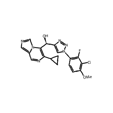 COc1ccc(-n2cc([C@H](O)c3c(C4CC4)ncc4cncn34)nn2)c(F)c1Cl